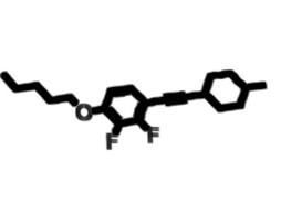 CCCCCOc1ccc(C#CC2CCC(C)CC2)c(F)c1F